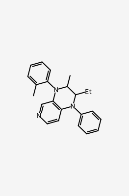 CCC1C(C)N(c2ccccc2C)c2cnccc2N1c1ccccc1